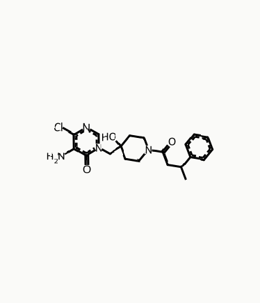 CC(CC(=O)N1CCC(O)(Cn2cnc(Cl)c(N)c2=O)CC1)c1ccccc1